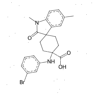 Cc1ccc2c(c1)C1(CCC(Nc3cccc(Br)c3)(C(=O)O)CC1)C(=O)N2C